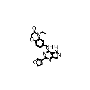 CCN1C(=O)COc2ccc(Nc3nc(-c4ccoc4)nc4cn[nH]c34)cc21